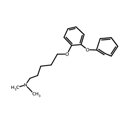 CN(C)CCCCCOc1ccccc1Oc1ccccc1